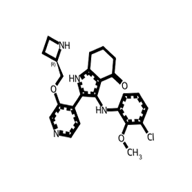 COc1c(Cl)cccc1Nc1c(-c2ccncc2OC[C@H]2CCN2)[nH]c2c1C(=O)CCC2